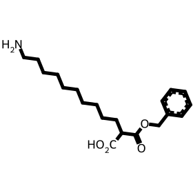 NCCCCCCCCCCC(C(=O)O)C(=O)OCc1ccccc1